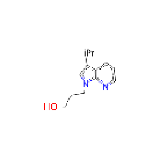 CC(C)c1cn(CCCO)c2ncccc12